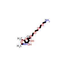 CO[C@H]1O[C@](C)(COCCOCCOCCOCCN)[C@H](O)[C@H](O)[C@H]1NC(C)=O